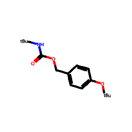 CC(C)(C)NC(=O)OCc1ccc(OC(C)(C)C)cc1